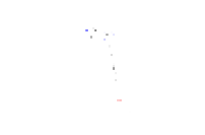 Cc1cc(/N=C(/NC#N)NCCCCCCCCCCNC(=O)OC(C)(C)C)ccn1